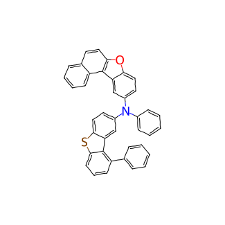 c1ccc(-c2cccc3sc4ccc(N(c5ccccc5)c5ccc6oc7ccc8ccccc8c7c6c5)cc4c23)cc1